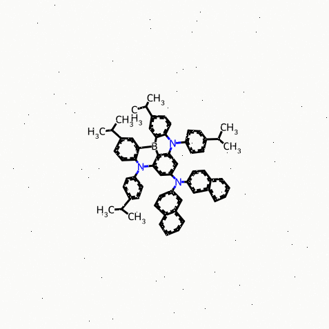 CC(C)c1ccc(N2c3ccc(C(C)C)cc3B3c4cc(C(C)C)ccc4N(c4ccc(C(C)C)cc4)c4cc(N(c5ccc6ccccc6c5)c5ccc6ccccc6c5)cc2c43)cc1